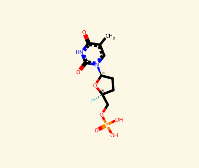 Cc1cn([C@H]2CC[C@@](F)(COP(=O)(O)O)O2)c(=O)[nH]c1=O